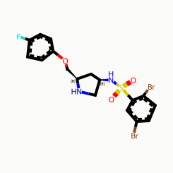 O=S(=O)(N[C@H]1CN[C@@H](COc2ccc(F)cc2)C1)c1cc(Br)ccc1Br